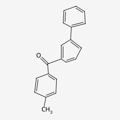 Cc1ccc(C(=O)c2cccc(-c3ccccc3)c2)cc1